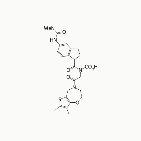 CNC(=O)Nc1ccc2c(c1)CCC2C(=O)N(CC(=O)N1CCOc2c(sc(C)c2C)C1)C(=O)O